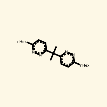 CCCCCCc1ccc(C(C)(C)c2ccc(CCCCCC)nn2)nn1